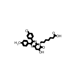 Cc1ccc(-c2nc3c(nc2-c2ccc(Cl)cc2)N(CCCCCCC(=O)O)C(=O)C(O)C3)cc1